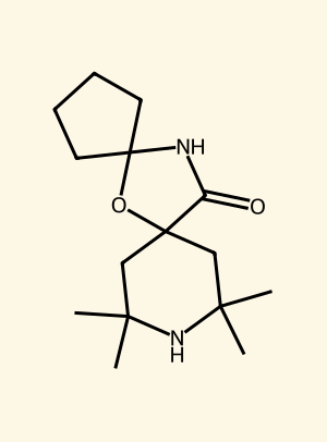 CC1(C)CC2(CC(C)(C)N1)OC1(CCCC1)NC2=O